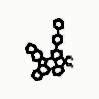 CC1(C)c2ccccc2-c2c(-n3c4cc5ccccc5cc4c4c5ccccc5ccc43)nc(-c3ccc(-c4ccccn4)cc3)nc21